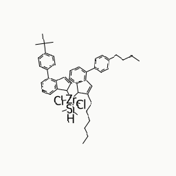 CCCCCCC1=Cc2c(-c3ccc(CCCC)cc3)cccc2[CH]1[Zr]([Cl])([Cl])([CH]1C=Cc2c(-c3ccc(C(C)(C)C)cc3)cccc21)[SiH](C)C